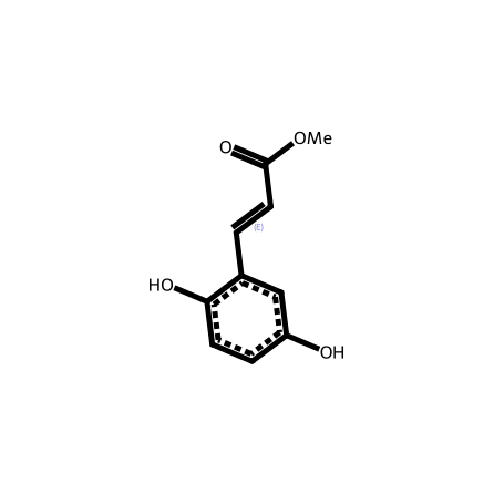 COC(=O)/C=C/c1cc(O)ccc1O